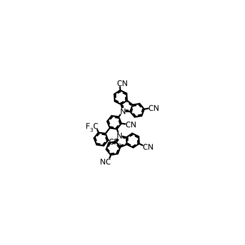 N#Cc1ccc2c(c1)c1cc(C#N)ccc1n2-c1ccc(-c2c(C(F)(F)F)cccc2C(F)(F)F)c(-n2c3ccc(C#N)cc3c3cc(C#N)ccc32)c1C#N